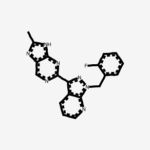 Cc1nc2cnc(-c3nn(Cc4ccccc4F)c4ncccc34)nc2[nH]1